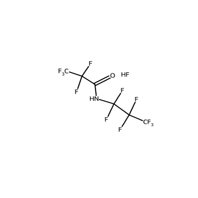 F.O=C(NC(F)(F)C(F)(F)C(F)(F)F)C(F)(F)C(F)(F)F